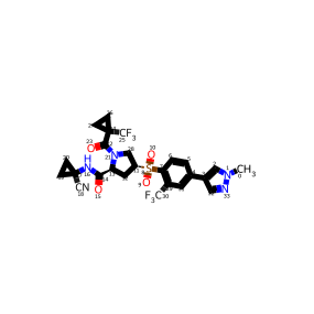 Cn1cc(-c2ccc(S(=O)(=O)[C@@H]3C[C@@H](C(=O)NC4(C#N)CC4)N(C(=O)C4(C(F)(F)F)CC4)C3)c(C(F)(F)F)c2)cn1